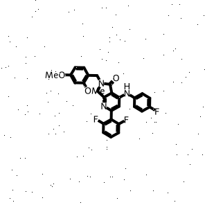 COc1ccc(CN2Cc3nc(-c4c(F)cccc4F)cc(Nc4ccc(F)cc4)c3C2=O)c(OC)c1